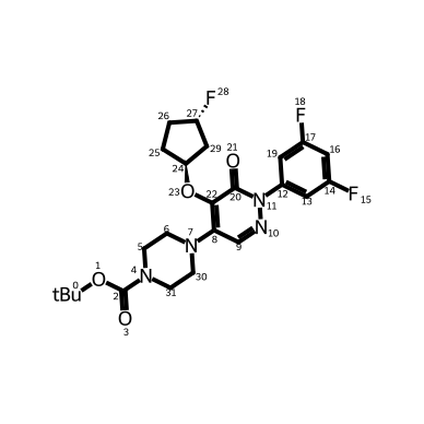 CC(C)(C)OC(=O)N1CCN(c2cnn(-c3cc(F)cc(F)c3)c(=O)c2O[C@H]2CC[C@H](F)C2)CC1